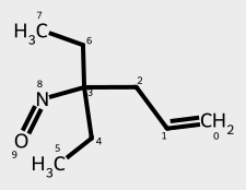 C=CCC(CC)(CC)N=O